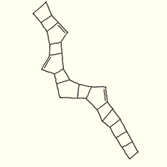 C1=C2C3CCC3C2C2C3=CC4C5CC6C7C(C=C8C7C7C8C8C9C%10CCC%10C9C78)C6C5C4C3C12